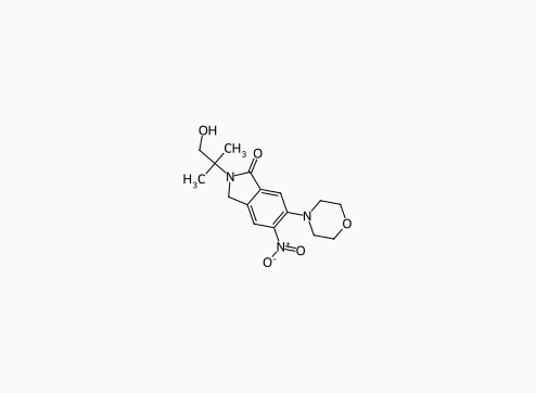 CC(C)(CO)N1Cc2cc([N+](=O)[O-])c(N3CCOCC3)cc2C1=O